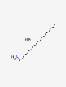 Br.CCCCCCCCCCCCCCCCC(C)N